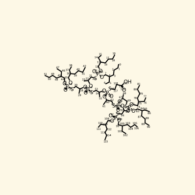 CCCCC(CC)COP(=O)(OCC(CC)CCCC)SCC(C)OP(=O)(OC(C)CSP(=O)(OCC(CC)CCCC)OCC(CC)CCCC)SCC(C)OP(=O)(OC(C)CSP(=O)(OC(C)CSP(=O)(OCC(CC)CCCC)OCC(CC)CCCC)OC(C)CSP(=O)(OCC(CC)CCCC)OCC(CC)CCCC)SCCC(=O)O